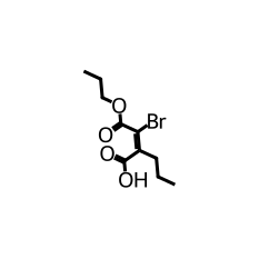 CCCOC(=O)C(Br)=C(CCC)C(=O)O